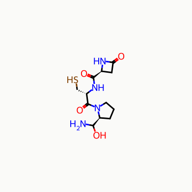 NC(O)[C@@H]1CCCN1C(=O)[C@H](CS)NC(=O)[C@@H]1CC(=O)N1